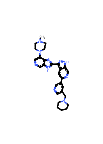 CN1CCN(c2cncc3[nH]c(-c4n[nH]c5cnc(-c6cncc(CN7CCCCC7)c6)cc45)nc23)CC1